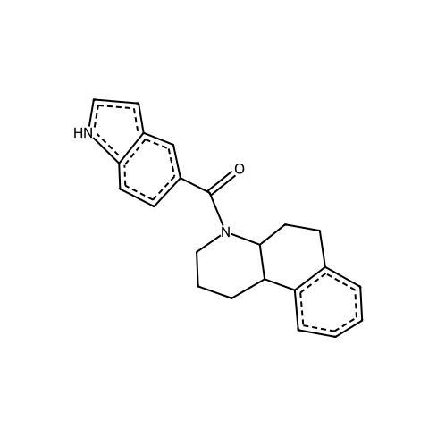 O=C(c1ccc2[nH]ccc2c1)N1CCCC2c3ccccc3CCC21